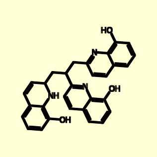 Oc1cccc2c1NC(CC(Cc1ccc3cccc(O)c3n1)c1ccc3cccc(O)c3n1)C=C2